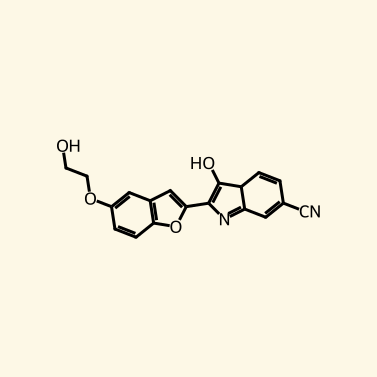 N#CC1=CC2=NC(c3cc4cc(OCCO)ccc4o3)=C(O)C2C=C1